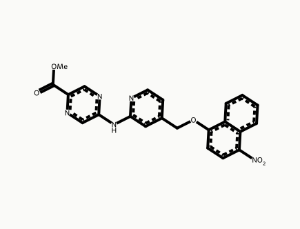 COC(=O)c1cnc(Nc2cc(COc3ccc([N+](=O)[O-])c4ccccc34)ccn2)cn1